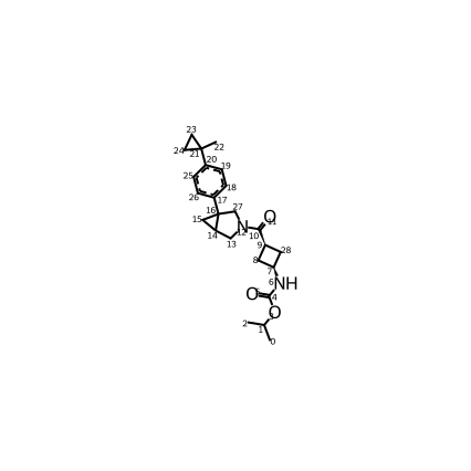 CC(C)OC(=O)N[C@H]1C[C@@H](C(=O)N2CC3CC3(c3ccc(C4(C)CC4)cc3)C2)C1